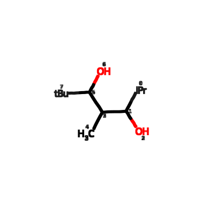 CC(C)C(O)C(C)C(O)C(C)(C)C